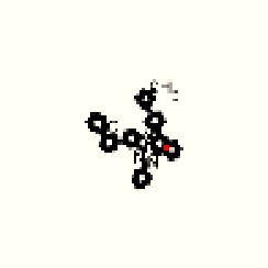 Cc1cccc(-c2ccc3c4ccccc4n(-c4ccc(-c5cccc6c5oc5ccccc56)cc4-c4nc(-c5ccccc5)nc(-c5ccccc5)n4)c3c2)c1